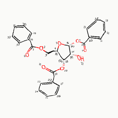 O=C(OC[C@H]1O[C@H](OC(=O)c2ccccc2)[C@H](O)[C@@H]1OC(=O)c1ccccc1)c1ccccc1